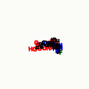 CC(C)(C)OC(=O)N(CCc1nc2c(NCc3ncccc3F)ncnc2s1)CCc1nc2cc(CN(C=O)c3ccc4c(c3)C3(OC4=O)c4ccc(O)cc4Oc4cc(O)ccc43)ccc2n1C(=O)OC(C)(C)C